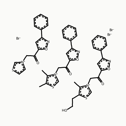 Cc1c(CCO)sc[n+]1CC(=O)c1cc(-c2ccccc2)no1.Cc1sc[n+](CC(=O)c2cc(-c3ccccc3)no2)c1C.O=C(C[n+]1ccsc1)c1cc(-c2ccccc2)no1.[Br-].[Br-].[Br-]